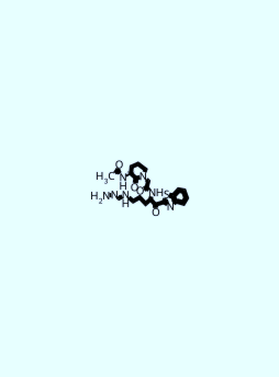 CC(=O)N[C@H]1CCCN(CC(=O)NC(CCCNC=NN)C(=O)c2nc3ccccc3s2)C1=O